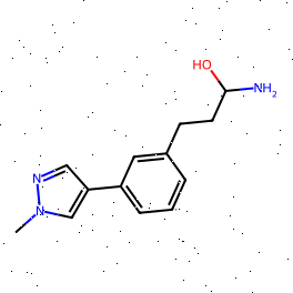 Cn1cc(-c2c[c]cc(CCC(N)O)c2)cn1